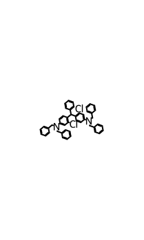 Clc1cc(N(Cc2ccccc2)Cc2ccccc2)ccc1C(c1ccccc1)c1ccc(N(Cc2ccccc2)Cc2ccccc2)cc1Cl